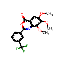 COc1cc2c(=O)oc(-c3cccc(C(F)(F)F)c3)nc2c(OC)c1OC